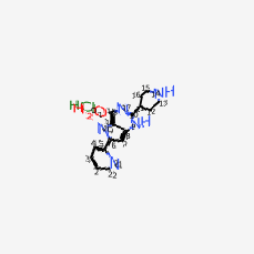 Cl.O.c1ccc(-c2cc3[nH]c(C4CCNCC4)ncc-3n2)nc1